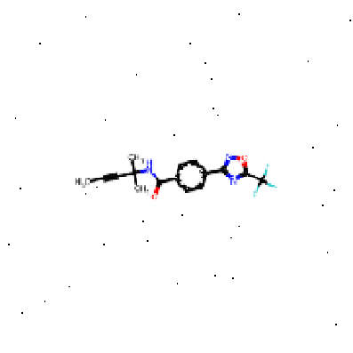 CC#CC(C)(C)NC(=O)c1ccc(-c2noc(C(F)(F)F)n2)cc1